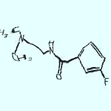 CN(C)CCNC(=O)c1cccc(F)c1